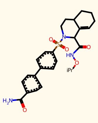 CC(C)ONC(=O)C1C2=CCCCC2CCN1S(=O)(=O)c1ccc(-c2ccc(C(N)=O)cc2)cc1